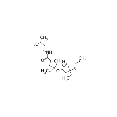 CCCSC(CC)(CC)CCOC(CC)(CC)CCC(=O)NCCC(C)C